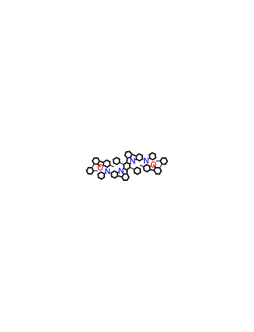 Cc1ccccc1-c1cccc2c1oc1c(N(c3ccccc3)c3ccc4c5cccc6c7c(-c8ccccc8)c8c(c(-c9ccccc9)c7n(c4c3)c56)c3cccc4c5ccc(N(c6ccccc6)c6c(C)ccc7c6oc6c(-c9ccccc9C)cccc67)cc5n8c43)c(C)ccc12